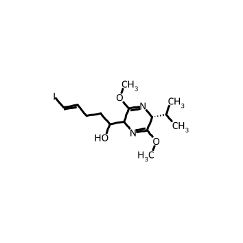 COC1=N[C@H](C(C)C)C(OC)=NC1C(O)CC/C=C/I